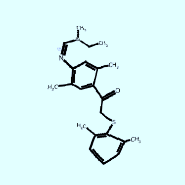 CCN(C)/C=N\c1cc(C)c(C(=O)CSc2c(C)cccc2C)cc1C